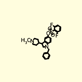 CN1CCC(C2CN(Cc3ccccc3)c3ccc(OS(=O)(=O)c4c(F)cccc4F)cc32)CC1